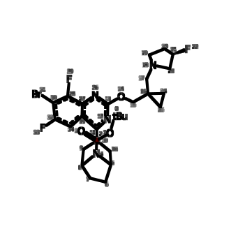 CC(C)(C)OC(=O)N1C2CCC1CN(c1nc(OCC3(CN4CC[C@@H](F)C4)CC3)nc3c(F)c(Br)c(F)cc13)C2